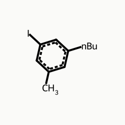 CCCCc1cc(C)cc(I)c1